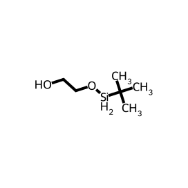 CC(C)(C)[SiH2]OCCO